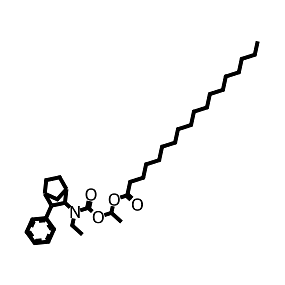 CCCCCCCCCCCCCCCCCC(=O)OC(C)OC(=O)N(CC)C1C2CCC(C2)C1c1ccccc1